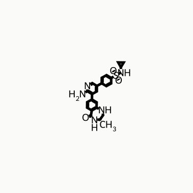 CC1CNc2cc(-c3cc(-c4ccc(S(=O)(=O)NC5CC5)cc4)cnc3N)ccc2C(=O)N1